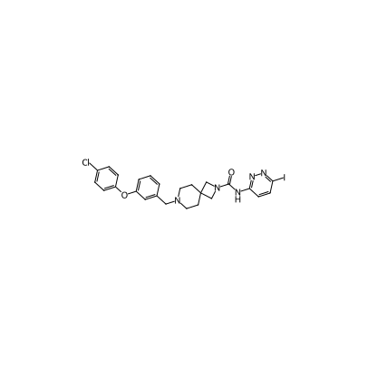 O=C(Nc1ccc(I)nn1)N1CC2(CCN(Cc3cccc(Oc4ccc(Cl)cc4)c3)CC2)C1